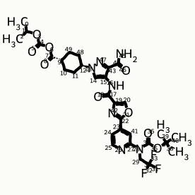 CC(C)OC(=O)OC(=O)[C@H]1CC[C@H](n2cc(NC(=O)c3coc(-c4ccnc(N(CC(F)(F)F)C(=O)OC(C)(C)C)c4)n3)c(C(N)=O)n2)CC1